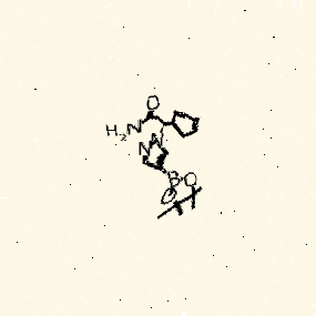 CC1(C)OB(c2cnn([C@@H](C(N)=O)c3ccccc3)c2)OC1(C)C